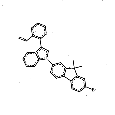 C=Cc1ccccc1-c1cn(-c2ccc3c(c2)C(C)(C)c2cc(Br)ccc2-3)c2ccccc12